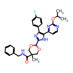 CC(C)Oc1nccc(-c2[nH]c(C3OCC(C)(C(=O)NCc4ccccc4)CO3)nc2-c2ccc(F)cc2)n1